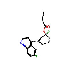 CCCC(=O)OC1(F)CCCC(c2ccnc3ccc(F)cc23)C1